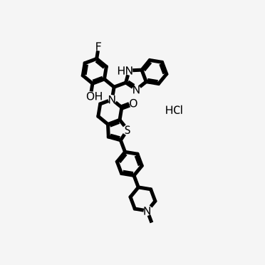 CN1CCC(c2ccc(-c3cc4c(s3)C(=O)N(C(c3nc5ccccc5[nH]3)c3cc(F)ccc3O)CC4)cc2)CC1.Cl